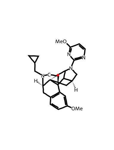 COc1ccc2c(c1)[C@]13CCN(CC4CC4)[C@H](C2)[C@]12CCC1C3[C@@H](CN1c1nccc(OC)n1)C2